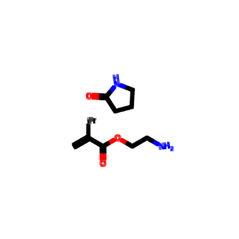 C=C(C(=O)OCCN)C(C)C.O=C1CCCN1